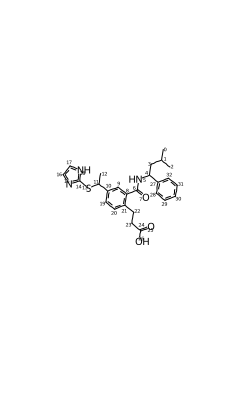 CC(C)CC(NC(=O)c1cc(C(C)Sc2ncc[nH]2)ccc1CCC(=O)O)c1ccccc1